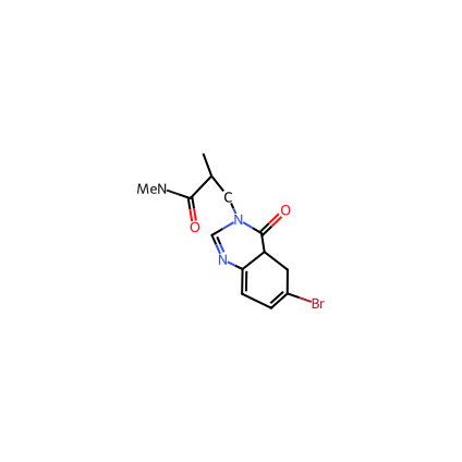 CNC(=O)C(C)CN1C=NC2=CC=C(Br)CC2C1=O